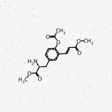 COC(=O)/C=C/c1cc(C[C@H](N)C(=O)OC)ccc1OC(C)=O